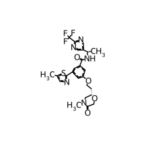 Cc1cnc(-c2cc(OCC[C@H]3CN(C)C(=O)CO3)cc(C(=O)N[C@H](C)c3cnc(C(F)(F)F)nc3)c2)s1